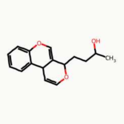 CC(O)CCC1OC=CC2C1=COc1ccccc12